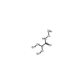 CCCCONC(=O)C(OCC)OCC